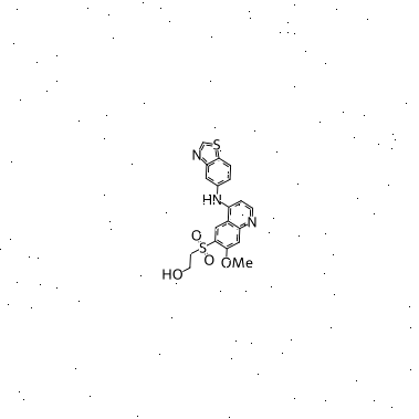 COc1cc2nccc(Nc3ccc4scnc4c3)c2cc1S(=O)(=O)CCO